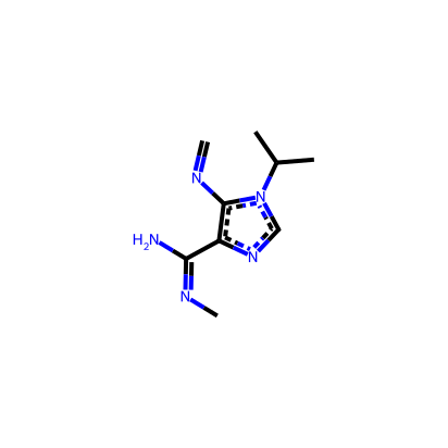 C=Nc1c(/C(N)=N\C)ncn1C(C)C